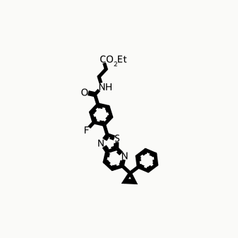 CCOC(=O)CCNC(=O)c1ccc(-c2nc3ccc(C4(c5ccccc5)C=C4)nc3s2)c(F)c1